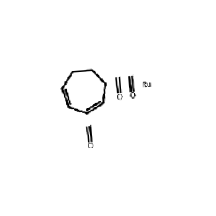 C1=CCCCC=C1.[C]=O.[C]=O.[C]=O.[Ru]